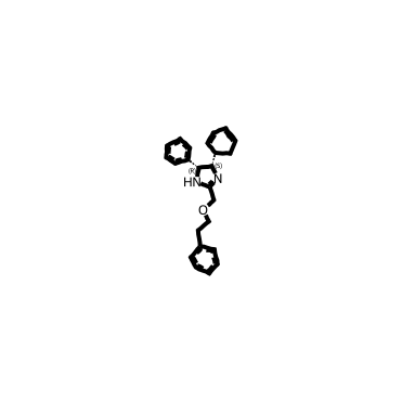 C1=CCC([C@@H]2N=C(COCCc3ccccc3)N[C@@H]2c2ccccc2)C=C1